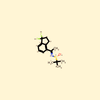 C/C(=N\[S@+]([O-])C(C)(C)C)c1cccc2c1CCC2(F)F